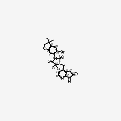 CC1(C)COc2cc(N3C(=O)N(Cc4ccnc5c4CC(=O)N5)C(C)(C)C3=O)c(Br)cc21